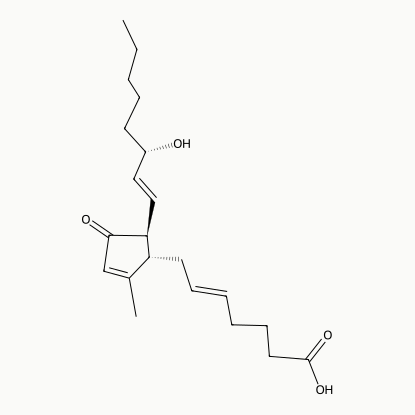 CCCCC[C@H](O)/C=C/[C@@H]1C(=O)C=C(C)[C@H]1CC=CCCCC(=O)O